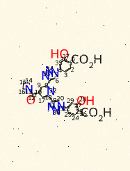 O=C(O)c1ccc(-n2cc(-c3cc(C(=O)N4CCC4)cc(-c4cn(-c5ccc(C(=O)O)c(O)c5)nn4)n3)nn2)cc1O